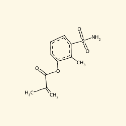 C=C(C)C(=O)Oc1cccc(S(N)(=O)=O)c1C